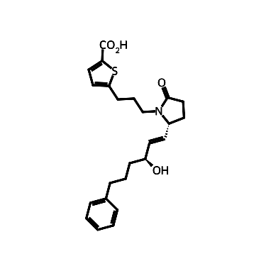 O=C(O)c1ccc(CCCN2C(=O)CC[C@@H]2/C=C/[C@@H](O)CCCc2ccccc2)s1